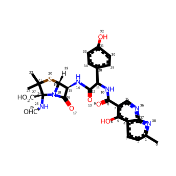 Cc1ccc2c(O)c(C(=O)NC(C(=O)N[C@H]3C(=O)N4[C@@H]3SC(C)(C)[C@]4(NC=O)C(=O)O)c3ccc(O)cc3)cnc2n1